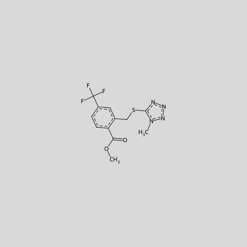 COC(=O)c1ccc(C(F)(F)F)cc1CSc1nnnn1C